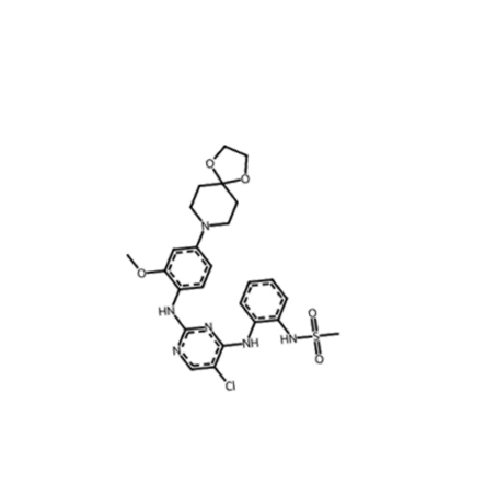 COc1cc(N2CCC3(CC2)OCCO3)ccc1Nc1ncc(Cl)c(Nc2ccccc2NS(C)(=O)=O)n1